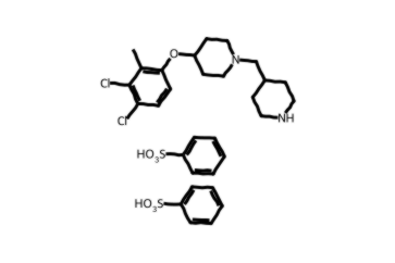 Cc1c(OC2CCN(CC3CCNCC3)CC2)ccc(Cl)c1Cl.O=S(=O)(O)c1ccccc1.O=S(=O)(O)c1ccccc1